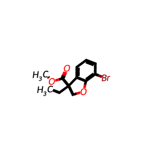 CCC1(C(=O)OC)COc2c(Br)cccc21